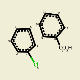 Clc1ccccc1.O=C(O)c1ccccc1